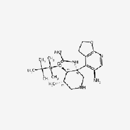 C[C@H]1CNC[C@](NC(=O)O)(c2c(N)cnc3c2CCO3)[C@@H]1O[Si](C)(C)C(C)(C)C